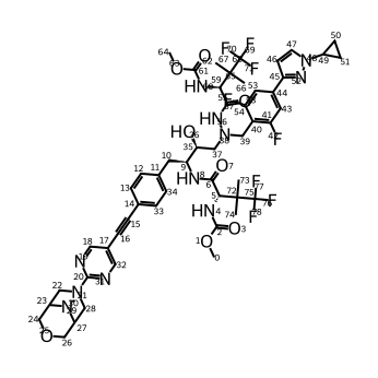 COC(=O)N[C@H](C(=O)N[C@@H](Cc1ccc(C#Cc2cnc(N3CC4COCC(C3)N4C)nc2)cc1)[C@@H](O)CN(Cc1c(F)cc(-c2ccn(C3CC3)n2)cc1F)NC(=O)[C@@H](NC(=O)OC)C(C)(C)C(F)(F)F)C(C)(C)C(F)(F)F